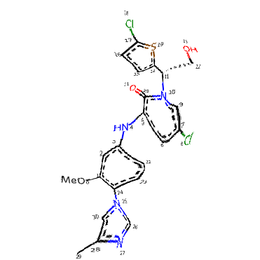 COc1cc(Nc2cc(Cl)cn([C@@H](CO)c3ccc(Cl)s3)c2=O)ccc1-n1cnc(C)c1